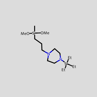 CC[Si](CC)(CC)N1CCN(CCC[Si](C)(OC)OC)CC1